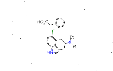 CCN(CC)C1Cc2c[nH]c3ccc(F)c(c23)C1.O=C(O)Cc1ccccc1